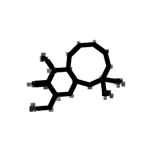 BC1(N)CCCCCC2C(CC(CC(C)C)C(=S)N2C(C)C)C1